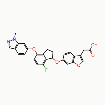 Cn1ncc2ccc(Oc3ccc(F)c4c3CCC4Oc3ccc4c(CC(=O)O)coc4c3)cc21